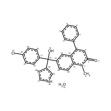 Cn1c(=O)cc(-c2ccccc2)c2cc(C(O)(c3ccc(Cl)cc3)c3c[nH]cn3)ccc21.O